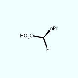 CCC[C@@H](F)C(=O)O